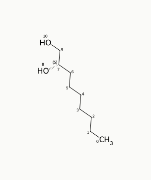 CCCCCCC[C@H](O)CO